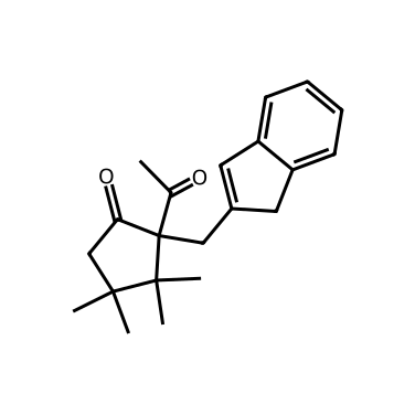 CC(=O)C1(CC2=Cc3ccccc3C2)C(=O)CC(C)(C)C1(C)C